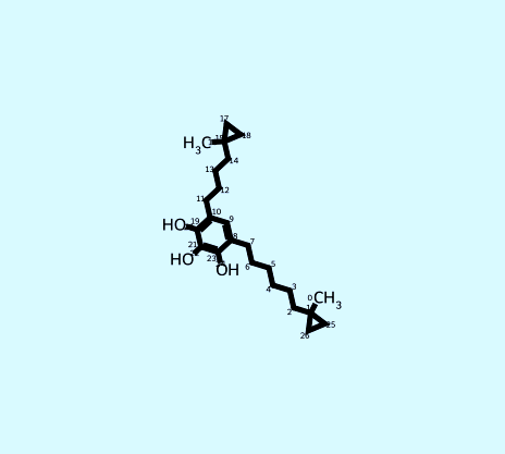 CC1(CCCCCCc2cc(CCCCC3(C)CC3)c(O)c(O)c2O)CC1